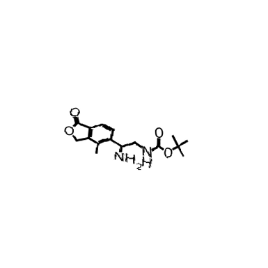 Cc1c(C(N)CNC(=O)OC(C)(C)C)ccc2c1COC2=O